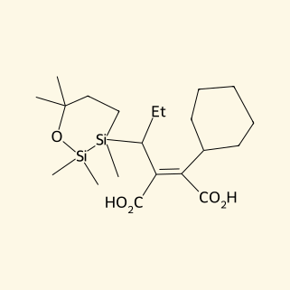 CCC(C(C(=O)O)=C(C(=O)O)C1CCCCC1)[Si]1(C)CCC(C)(C)O[Si]1(C)C